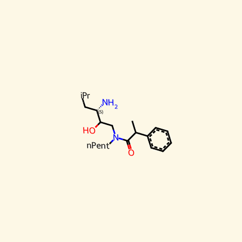 CCCCCN(CC(O)[C@@H](N)CC(C)C)C(=O)C(C)c1ccccc1